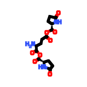 N[C@@H](CCC(=O)OC(=O)[C@@H]1CCC(=O)N1)C(=O)OC(=O)[C@@H]1CCC(=O)N1